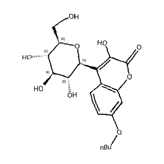 CCCCOc1ccc2c([C@@H]3O[C@H](CO)[C@@H](O)[C@H](O)[C@H]3O)c(O)c(=O)oc2c1